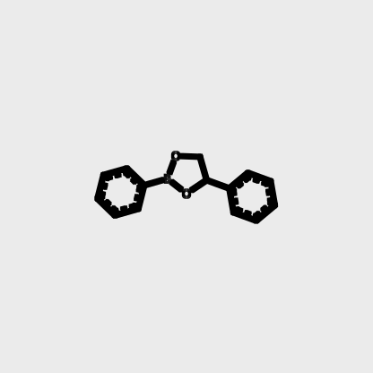 c1ccc(B2OCC(c3ccccc3)O2)cc1